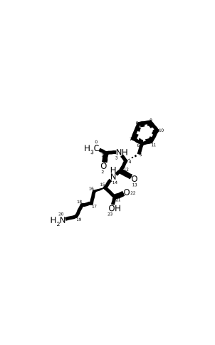 CC(=O)N[C@H](Cc1ccccc1)C(=O)N[C@H](CCCCN)C(=O)O